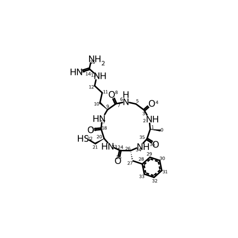 C[C@@H]1NC(=O)CNC(=O)[C@H](CCCNC(=N)N)NC(=O)[C@H](CS)NC(=O)[C@@H](Cc2ccccc2)NC1=O